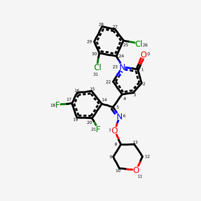 O=c1ccc(C(=NOC2CCOCC2)c2ccc(F)cc2F)cn1-c1c(Cl)cccc1Cl